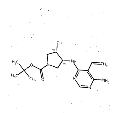 C=Cc1c(N)ncnc1N[C@@H]1CN(C(=O)OC(C)(C)C)C[C@@H]1O